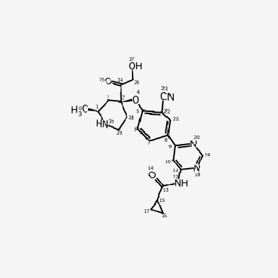 C[C@H]1C[C@](Oc2ccc(-c3cc(NC(=O)C4CC4)ncn3)cc2C#N)(C(=O)CO)CCN1